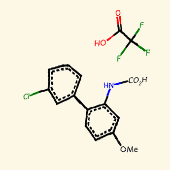 COc1ccc(-c2cccc(Cl)c2)c(NC(=O)O)c1.O=C(O)C(F)(F)F